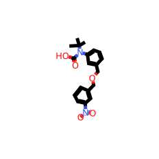 CC(C)(C)N(C(=O)O)c1cccc(COCc2cccc([N+](=O)[O-])c2)c1